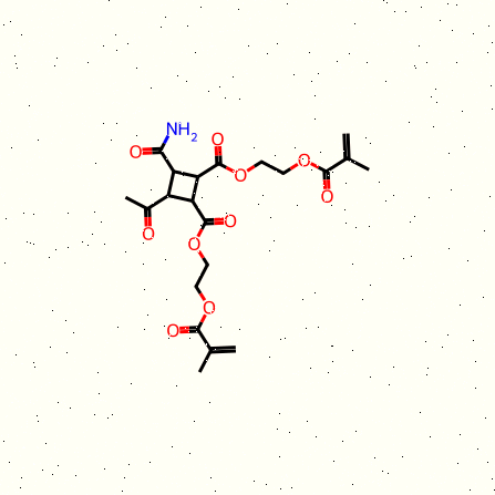 C=C(C)C(=O)OCCOC(=O)C1C(C(C)=O)C(C(N)=O)C1C(=O)OCCOC(=O)C(=C)C